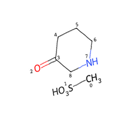 CS(=O)(=O)O.O=C1CCCNC1